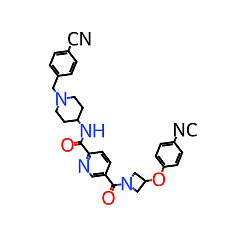 [C-]#[N+]c1ccc(OC2CN(C(=O)c3ccc(C(=O)NC4CCN(Cc5ccc(C#N)cc5)CC4)nc3)C2)cc1